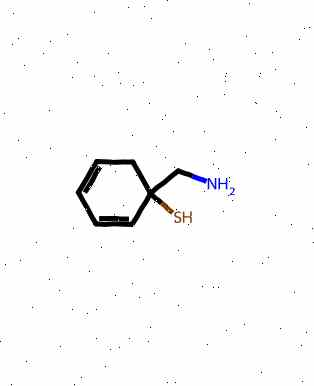 NCC1(S)C=CC=CC1